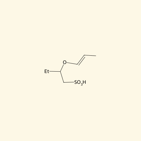 CC=COC(CC)CS(=O)(=O)O